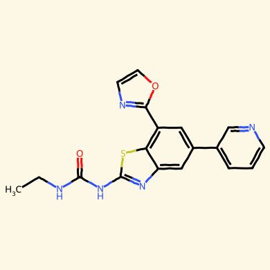 CCNC(=O)Nc1nc2cc(-c3cccnc3)cc(-c3ncco3)c2s1